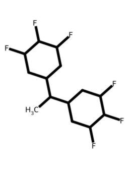 CC(C1CC(F)C(F)C(F)C1)C1CC(F)C(F)C(F)C1